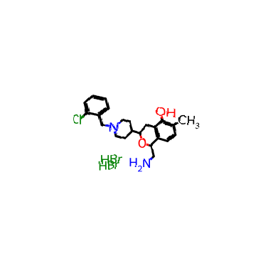 Br.Br.Cc1ccc2c(c1O)CC(C1CCN(Cc3ccccc3Cl)CC1)OC2CN